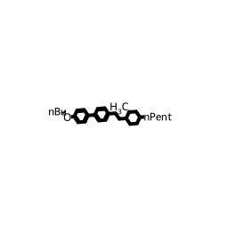 CCCCCC1CCC(CCc2ccc(-c3ccc(OCCCC)cc3)cc2)C(C)C1